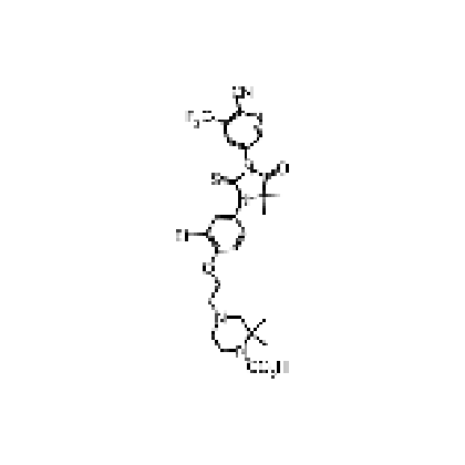 CCc1cc(N2C(=S)N(c3cnc(C#N)c(C(F)(F)F)c3)C(=O)C2(C)C)ccc1OCCN1CCN(C(=O)O)C(C)(C)C1